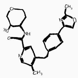 Cc1nc(-c2ccc(Cc3cc(C(=O)NC4CCOCC4O)ncc3C)cc2)co1